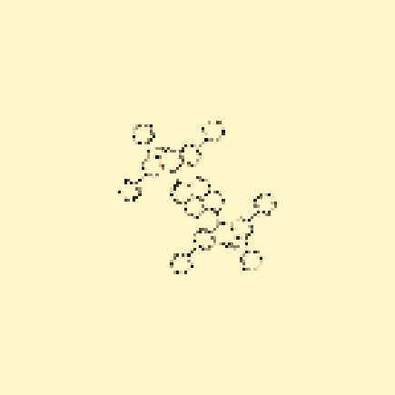 N#Cc1cc(-c2ccccc2)ccc1N(C1=CC=c2ccc3c4c2C1C=CC4C=CC=3N(c1cc(-c2ccccc2)cc(-c2ccccc2)c1)c1ccc(-c2ccccc2)cc1C#N)c1cc(-c2ccccc2)cc(-c2ccccc2)c1